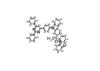 CC1(C)c2cc3c(cc2-c2ccc4oc5ccccc5c4c21)c1ccccc1n3-c1ccc(-c2cc(-c3ccccc3)nc(-c3ccccc3)n2)cc1